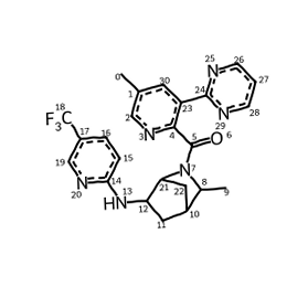 Cc1cnc(C(=O)N2C(C)C3CC(Nc4ccc(C(F)(F)F)cn4)C2C3)c(-c2ncccn2)c1